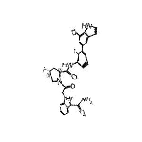 NC(=O)c1nn(CC(=O)N2C[C@H](F)C[C@H]2C(=O)Nc2cccc(-c3cc(Cl)c4[nH]ccc4c3)c2F)c2ccccc12